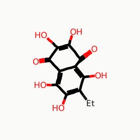 CCc1c(O)c(O)c2c(c1O)C(=O)C(O)=C(O)C2=O